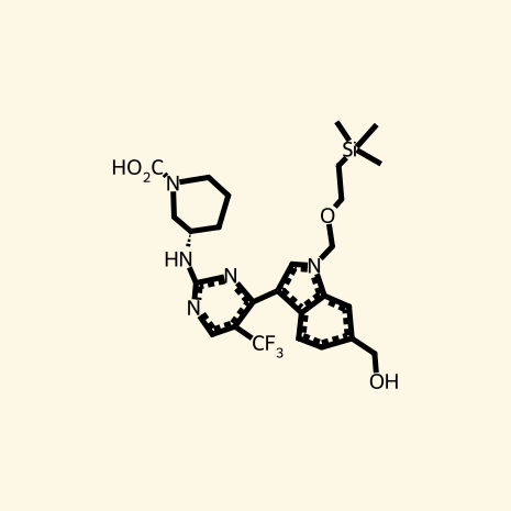 C[Si](C)(C)CCOCn1cc(-c2nc(N[C@H]3CCCN(C(=O)O)C3)ncc2C(F)(F)F)c2ccc(CO)cc21